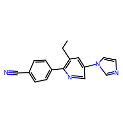 CCc1cc(-n2ccnc2)cnc1-c1ccc(C#N)cc1